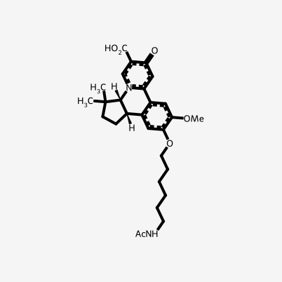 COc1cc2c(cc1OCCCCCCNC(C)=O)[C@@H]1CCC(C)(C)[C@@H]1n1cc(C(=O)O)c(=O)cc1-2